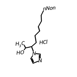 CCCCCCCCCCCCCCCC(C(C)O)n1ccnc1.Cl